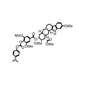 COC(=O)[C@H]1[C@H]2C[C@@H]3c4[nH]c5cc(OC)ccc5c4CCN3C[C@H]2C[C@@H](OC(=O)c2cc(OC)c(OC(=O)Oc3ccc(N(C)C)cc3)c(OC)c2)[C@@H]1OC